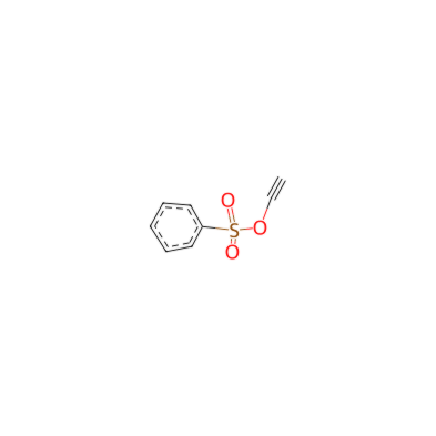 C#COS(=O)(=O)c1ccccc1